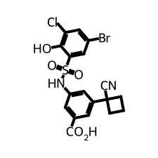 N#CC1(c2cc(NS(=O)(=O)c3cc(Br)cc(Cl)c3O)cc(C(=O)O)c2)CCC1